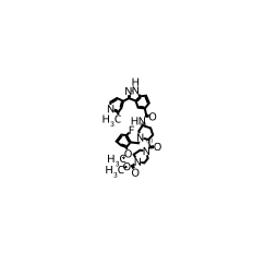 COC(=O)N1CCN(C(=O)[C@@H]2CC[C@@H](NC(=O)c3ccc4[nH]nc(-c5ccnc(C)c5)c4c3)CN2Cc2c(F)cccc2OC)CC1